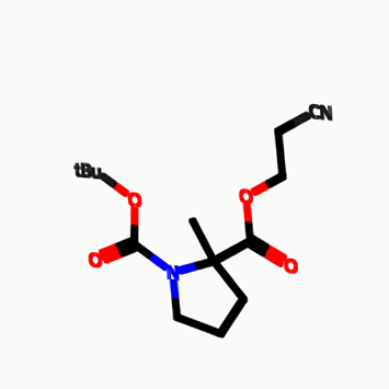 CC(C)(C)OC(=O)N1CCCC1(C)C(=O)OCCC#N